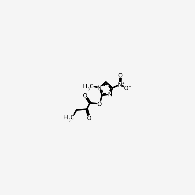 CCC(=O)C(=O)Oc1nc([N+](=O)[O-])cn1C